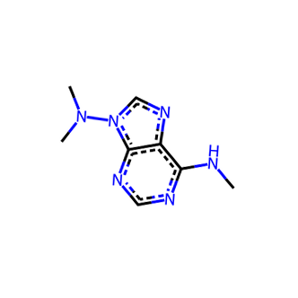 CNc1ncnc2c1ncn2N(C)C